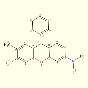 CCN(CC)C1=CC2Oc3cc(C)c(C)cc3C(c3ccccc3)C2C=C1